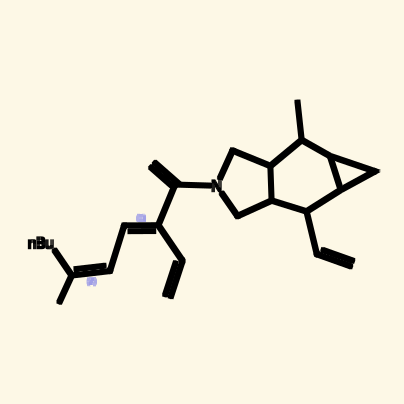 C=C/C(=C\C=C(\C)CCCC)C(=C)N1CC2C(C)C3CC3C(C=C)C2C1